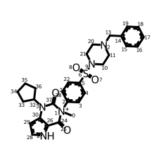 C[N+]1(c2ccc(S(=O)(=O)N3CCN(Cc4ccccc4)CC3)cc2)C(=O)c2[nH]ccc2N(C2CCCC2)C1=O